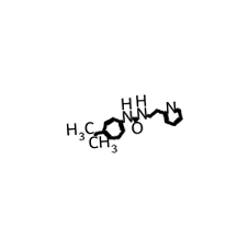 CC(C)C1=CCC=C(NC(=O)NCCc2ccccn2)C=C1